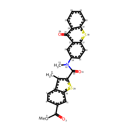 COC(=O)c1ccc2c(C)c(C(=O)N(C)c3ccc4sc5ccccc5c(=O)c4c3)sc2c1